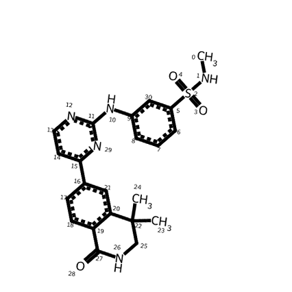 CNS(=O)(=O)c1cccc(Nc2nccc(-c3ccc4c(c3)C(C)(C)CNC4=O)n2)c1